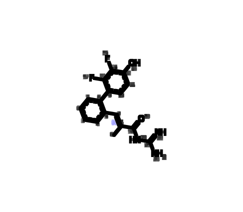 C/C(=C\c1ccccc1-c1ccc(O)c(F)c1F)C(=O)NC(=N)N